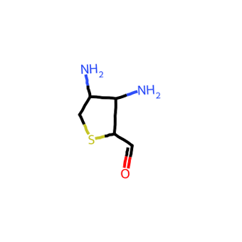 NC1CSC(C=O)C1N